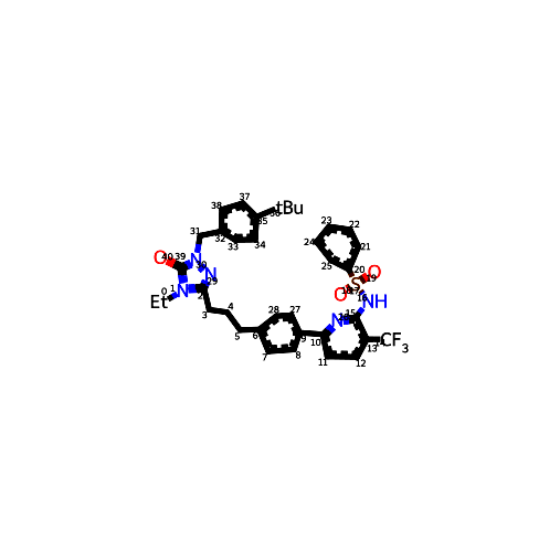 CCn1c(CCCc2ccc(-c3ccc(C(F)(F)F)c(NS(=O)(=O)c4ccccc4)n3)cc2)nn(Cc2ccc(C(C)(C)C)cc2)c1=O